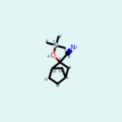 C[Si](C)(C)OC1(C#N)CC2CCC1C2